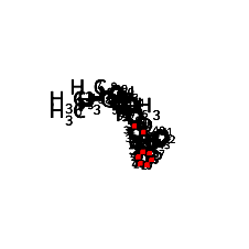 CC(C)CCCC(C)C1CC[C@H]2[C@@H]3CC=C4C[C@@H](OCCC(P(=S)(c5ccccc5)c5ccccc5)P(=S)(c5ccccc5)c5ccccc5)CC[C@]4(C)[C@H]3CC[C@]12C